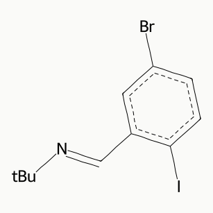 CC(C)(C)/N=C/c1cc(Br)ccc1I